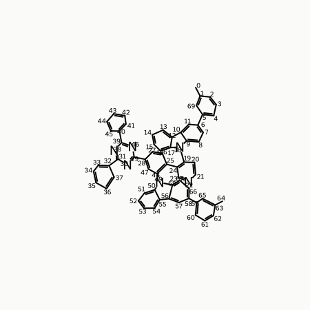 Cc1cccc(-c2ccc3c(c2)c2ccccc2n3-c2ccncc2-c2ccc(-c3nc(-c4ccccc4)nc(-c4ccccc4)n3)cc2-n2c3ccccc3c3cc(-c4cccc(C)c4)ccc32)c1